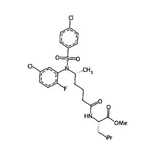 COC(=O)[C@H](CC(C)C)NC(=O)CCC[C@@H](C)N(c1cc(Cl)ccc1F)S(=O)(=O)c1ccc(Cl)cc1